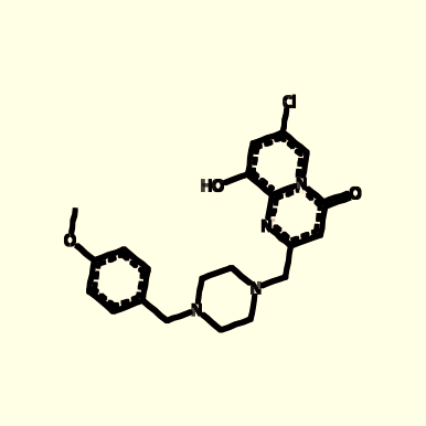 COc1ccc(CN2CCN(Cc3cc(=O)n4cc(Cl)cc(O)c4n3)CC2)cc1